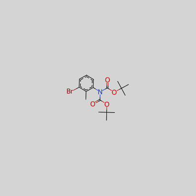 Cc1c(Br)cccc1N(C(=O)OC(C)(C)C)C(=O)OC(C)(C)C